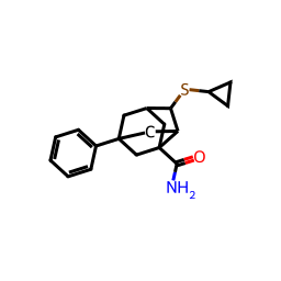 NC(=O)C12CC3CC(c4ccccc4)(CC1C3SC1CC1)C2